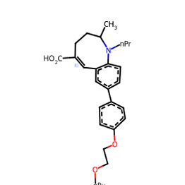 CCCCOCCOc1ccc(-c2ccc3c(c2)/C=C(/C(=O)O)CCC(C)N3CCC)cc1